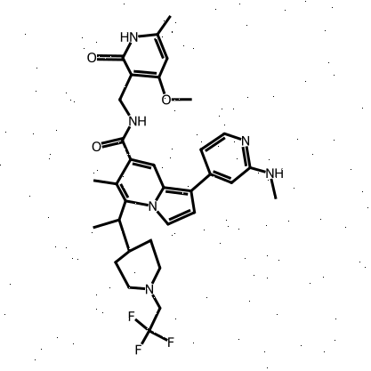 CNc1cc(-c2ccn3c(C(C)C4CCN(CC(F)(F)F)CC4)c(C)c(C(=O)NCc4c(OC)cc(C)[nH]c4=O)cc23)ccn1